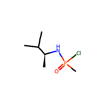 CC(C)[C@H](C)NP(C)(=O)Cl